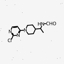 CC(NC=O)C1CCN(c2ccnc(Cl)n2)CC1